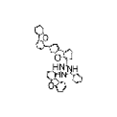 c1ccc(C2NC(c3cccc4c3oc3cc(-c5cccc6c5oc5ccccc56)ccc34)NC(c3cccc4oc5ccccc5c34)N2)cc1